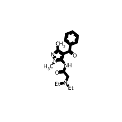 CCN(CC)CC(=O)Nc1c(C(=O)c2ccccc2)c(C)nn1C